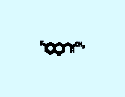 CNCC1CSc2ccc(F)cc2C1